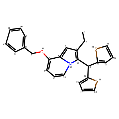 CCc1cc2c(OCc3ccccc3)cccn2c1C(c1cccs1)c1cccs1